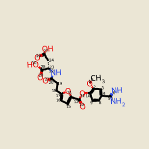 COc1cc(C(=N)N)ccc1OC(=O)c1ccc(CCC(=O)N[C@@H](CC(=O)O)C(=O)O)o1